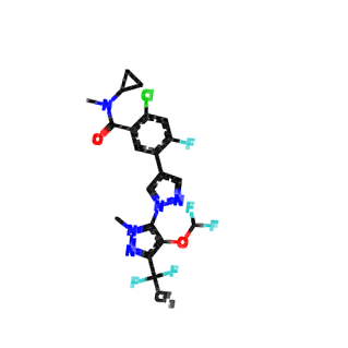 CN(C(=O)c1cc(-c2cnn(-c3c(OC(F)F)c(C(F)(F)C(F)(F)F)nn3C)c2)c(F)cc1Cl)C1CC1